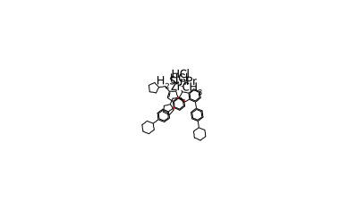 CC[CH2][Zr]([CH3])(=[SiH2])([CH]1C(CC2CCCC2)=Cc2c(-c3ccc(C4CCCCC4)cc3)cccc21)[CH]1C(CC2CCCC2)=Cc2c(-c3ccc(C4CCCCC4)cc3)cccc21.Cl.Cl